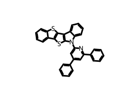 c1ccc(-c2cc(-c3ccccc3)nc(-n3c4ccccc4c4c5sc6ccccc6c5sc43)c2)cc1